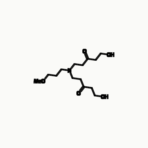 COCCCN(CCC(=O)CCO)CCC(=O)CCO